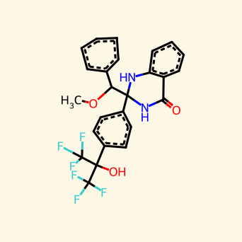 COC(c1ccccc1)C1(c2ccc(C(O)(C(F)(F)F)C(F)(F)F)cc2)NC(=O)c2ccccc2N1